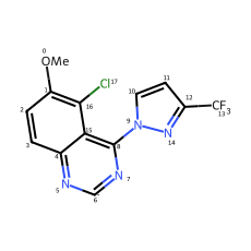 COc1ccc2n[c]nc(-n3ccc(C(F)(F)F)n3)c2c1Cl